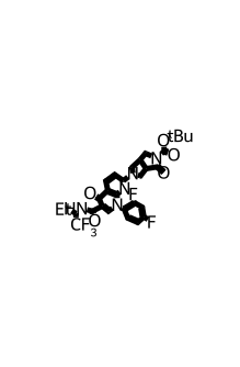 CCC(NC(=O)c1cn(-c2ccc(F)cc2F)c2nc(N3CC4CN(C(=O)OC(C)(C)C)C(=O)C4C3)ccc2c1=O)C(F)(F)F